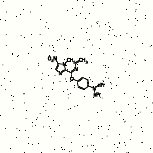 C=CN=C(Oc1ccc(N(CCC)CCC)cc1)c1ncc([N+](=O)[O-])n1C